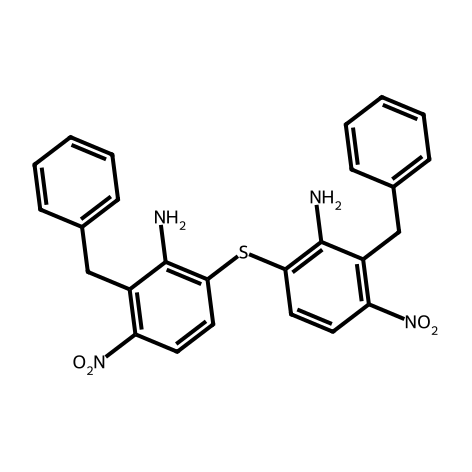 Nc1c(Sc2ccc([N+](=O)[O-])c(Cc3ccccc3)c2N)ccc([N+](=O)[O-])c1Cc1ccccc1